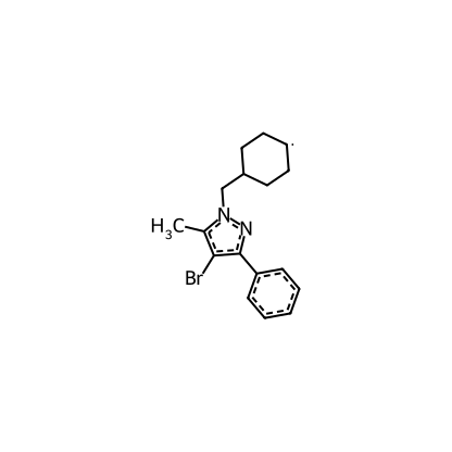 Cc1c(Br)c(-c2ccccc2)nn1CC1CC[CH]CC1